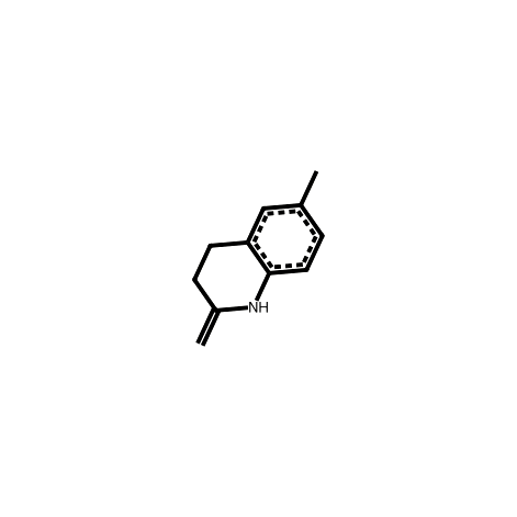 C=C1CCc2cc(C)ccc2N1